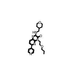 CCCOCCn1c(=O)c(NCC2CCOCC2)nc2ccc(-c3ccncc3)nc21